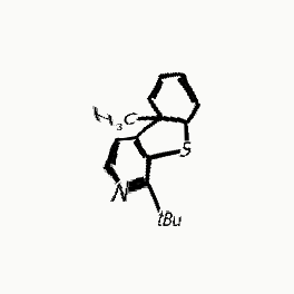 CC(C)(C)c1nccc2c1SC1C=CC=CC21C